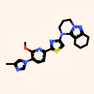 COc1nc(-c2nc(N3CCCn4nc5c(c43)CCCC5)cs2)ccc1-n1cnc(C)c1